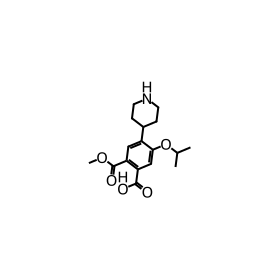 COC(=O)c1cc(C2CCNCC2)c(OC(C)C)cc1C(=O)O